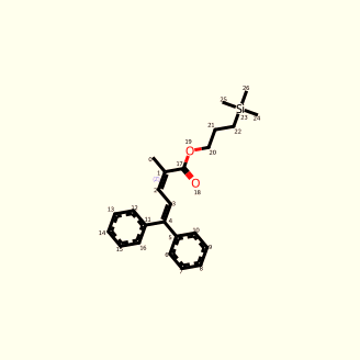 C/C(=C/C=C(c1ccccc1)c1ccccc1)C(=O)OCCC[Si](C)(C)C